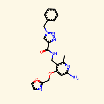 Cc1nc(N)cc(OCc2ncco2)c1CNC(=O)c1cn(Cc2ccccc2)nn1